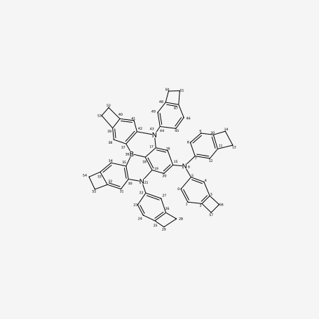 c1cc2c(cc1N(c1ccc3c(c1)CC3)c1cc3c4c(c1)N(c1ccc5c(c1)CC5)c1cc5c(cc1B4c1cc4c(cc1N3c1ccc3c(c1)CC3)CC4)CC5)CC2